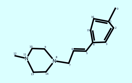 [CH2]c1ccc(/C=C/CN2CCN(C)CC2)cc1